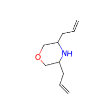 C=CCC1COCC(CC=C)N1